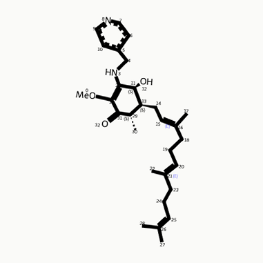 COC1=C(NCc2ccncc2)[C@@H](O)[C@@H](C/C=C(\C)CC/C=C(\C)CCC=C(C)C)[C@H](C)C1=O